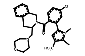 Cc1c(C(=O)O)cc(-c2cc(Cl)ccc2C(=O)N2Cc3ccccc3CC2CN2CCOCC2)n1C